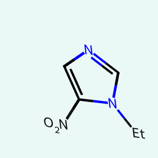 CCn1cncc1[N+](=O)[O-]